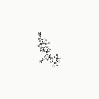 CC(CN(CCC#N)C1CC(C)(C)NC(C)(C)C1)C(=O)NC1CC(C)(C)N(CCC#N)C(C)(C)C1